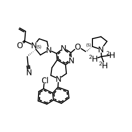 [2H]C([2H])([2H])N1CCC[C@H]1COc1nc2c(c(N3CCN(C(=O)C=C)[C@@H](CC#N)C3)n1)CCN(c1cccc3cccc(Cl)c13)C2